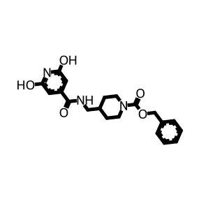 O=C(NCC1CCN(C(=O)OCc2ccccc2)CC1)c1cc(O)nc(O)c1